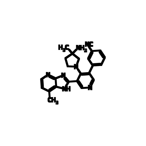 Cc1ccnc2nc(-c3cncc(-c4cccc(C#N)c4)c3N3CCC(C)(N)C3)[nH]c12